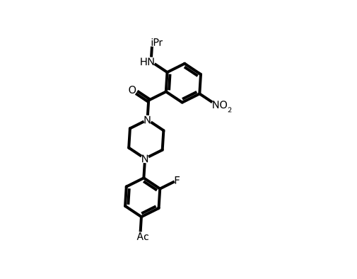 CC(=O)c1ccc(N2CCN(C(=O)c3cc([N+](=O)[O-])ccc3NC(C)C)CC2)c(F)c1